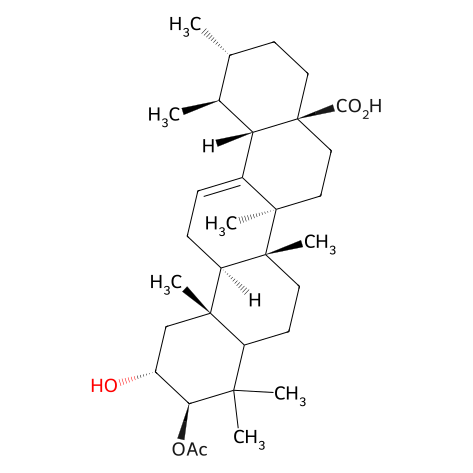 CC(=O)O[C@H]1[C@H](O)C[C@@]2(C)C(CC[C@]3(C)[C@@H]2CC=C2[C@@H]4[C@@H](C)[C@H](C)CC[C@]4(C(=O)O)CC[C@]23C)C1(C)C